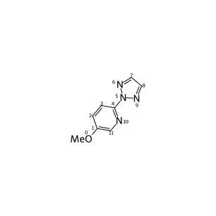 COc1ccc(-n2nccn2)nc1